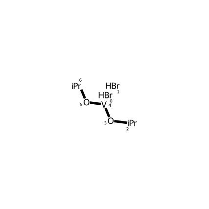 Br.Br.CC(C)[O][V][O]C(C)C